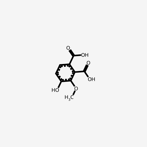 COc1c(O)ccc(C(=O)O)c1C(=O)O